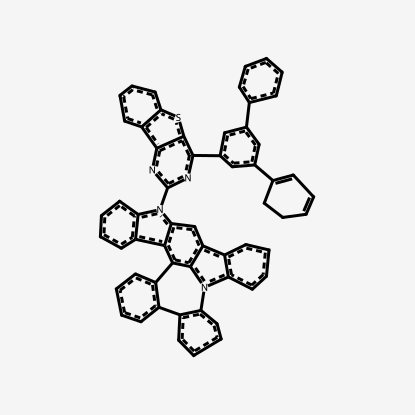 C1=CCCC(c2cc(-c3ccccc3)cc(-c3nc(-n4c5ccccc5c5c6c7c(cc54)c4ccccc4n7-c4ccccc4-c4ccccc4-6)nc4c3sc3ccccc34)c2)=C1